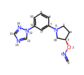 C=NO[C@@H]1CCN(c2cccc(-n3cncn3)c2)C1